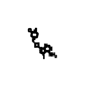 CN1CCN(C[C@H]2C[C@@H](n3cc(I)c4c(N)ncnc43)C2)CC1=O